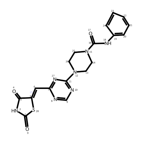 O=C1NC(=O)/C(=C/c2ncnc(N3CCN(C(=O)Nc4ccccc4)CC3)n2)S1